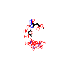 COC(=O)Cc1cn([C@@H]2O[C@H](COP(=O)(O)OP(=O)(O)OP(=O)(O)O)C(O)C2O)c(=O)[nH]c1=O